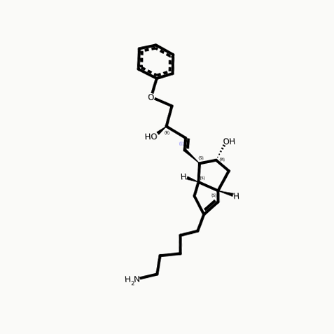 NCCCCCC1=C[C@H]2C[C@@H](O)[C@H](/C=C/[C@@H](O)COc3ccccc3)[C@H]2C1